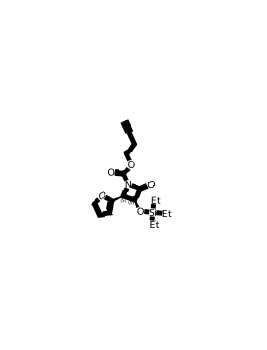 C#CCCOC(=O)N1C(=O)[C@@H](O[Si](CC)(CC)CC)[C@H]1c1ccco1